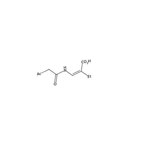 CCC(=CNC(=O)CC(C)=O)C(=O)O